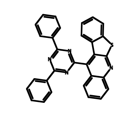 c1ccc(-c2nc(-c3ccccc3)nc(-c3c4ccccc4nc4sc5ccccc5c34)n2)cc1